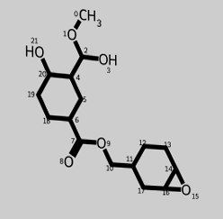 COC(O)C1CC(C(=O)OCC2CCC3OC3C2)CCC1O